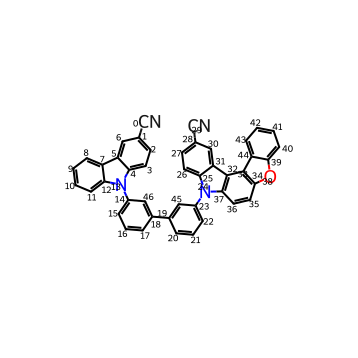 N#Cc1ccc2c(c1)c1ccccc1n2-c1cccc(-c2cccc(-n3c4ccc(C#N)cc4c4c5c(ccc43)oc3ccccc35)c2)c1